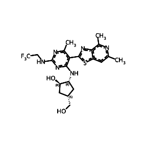 Cc1cc2sc(-c3c(C)nc(NCC(F)(F)F)nc3N[C@@H]3C[C@H](CO)C[C@H]3O)nc2c(C)n1